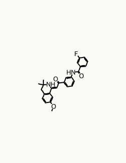 COc1ccc2c(c1)/C(=C/C(=O)c1cccc(NC(=O)c3cccc(F)c3)c1)NC(C)(C)C2